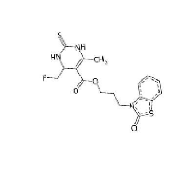 CC1=C(C(=O)OCCCn2c(=O)sc3ccccc32)C(CF)NC(=S)N1